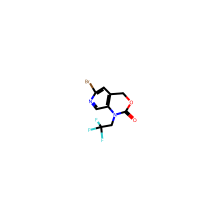 O=C1OCc2cc(Br)ncc2N1CC(F)(F)F